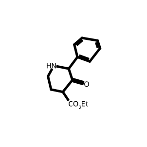 CCOC(=O)C1CCNC(c2ccccc2)C1=O